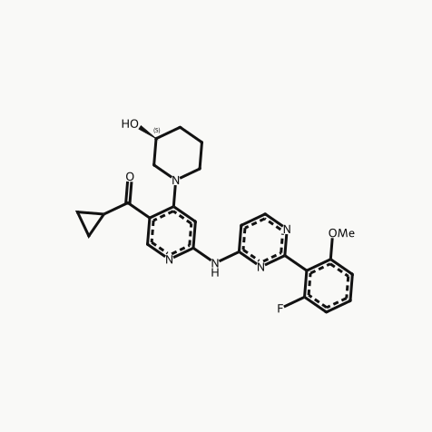 COc1cccc(F)c1-c1nccc(Nc2cc(N3CCC[C@H](O)C3)c(C(=O)C3CC3)cn2)n1